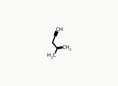 C#CCC([CH2])=C